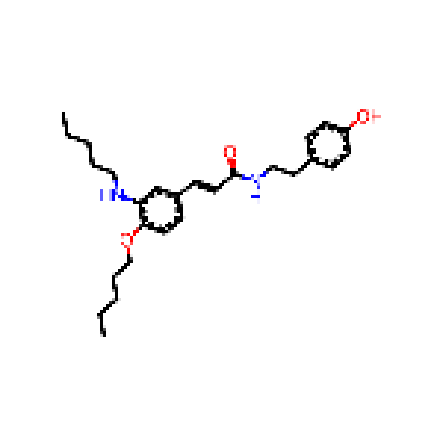 CCCCCNc1cc(C=CC(=O)NCCc2ccc(O)cc2)ccc1OCCCCC